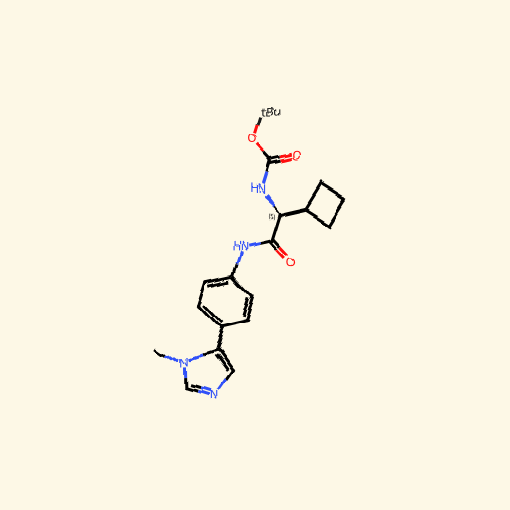 Cn1cncc1-c1ccc(NC(=O)[C@@H](NC(=O)OC(C)(C)C)C2CCC2)cc1